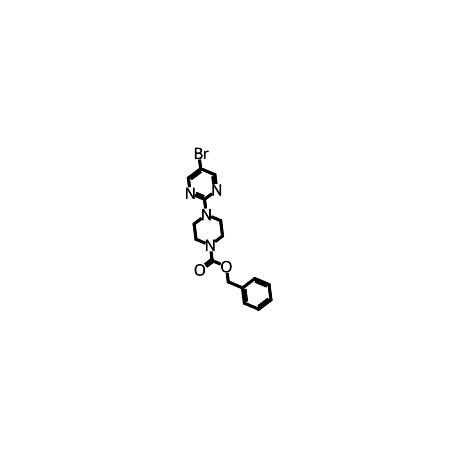 O=C(OCc1ccccc1)N1CCN(c2ncc(Br)cn2)CC1